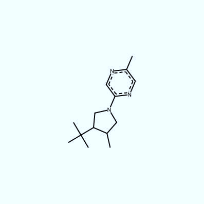 Cc1cnc(N2CC(C)C(C(C)(C)C)C2)cn1